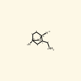 NCC1C[C@@H]2CC[C@H]1O2